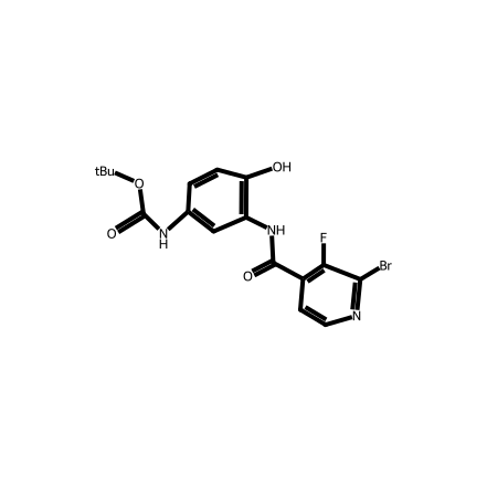 CC(C)(C)OC(=O)Nc1ccc(O)c(NC(=O)c2ccnc(Br)c2F)c1